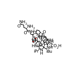 CC[C@H](C)[C@H](NC(=O)[C@H](CC(=O)O)NC(=O)CNC(=O)[C@@H]1CCCN1C(=O)[C@@H]1CCCN1C(=O)CNC(=O)[C@@H](N)CCC(N)=O)C(=O)N[C@H](C(=O)N[C@@H](CC(C)C)C(=O)N[C@@H](C)C(=O)O)C(C)C